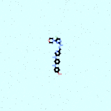 Oc1ccc(Nc2cccc(Nc3ccc(/C=N/Nc4ncc(F)c(N5CCOCC5)n4)nc3)c2)cc1